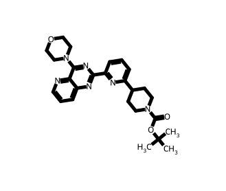 CC(C)(C)OC(=O)N1CCC(c2cccc(-c3nc(N4CCOCC4)c4ncccc4n3)n2)CC1